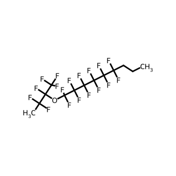 CCCC(F)(F)C(F)(F)C(F)(F)C(F)(F)C(F)(F)C(F)(F)OC(F)(C(C)(F)F)C(F)(F)F